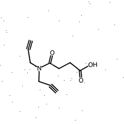 C#CCN(CC#C)C(=O)CCC(=O)O